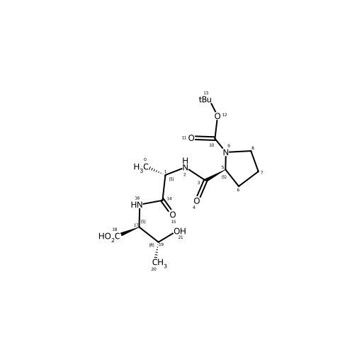 C[C@H](NC(=O)[C@@H]1CCCN1C(=O)OC(C)(C)C)C(=O)N[C@H](C(=O)O)[C@@H](C)O